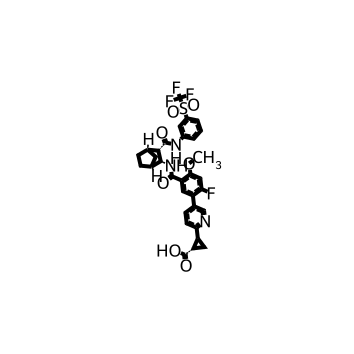 COc1cc(F)c(-c2ccc(C3C[C@@H]3C(=O)O)nc2)cc1C(=O)N[C@@H]1[C@H]2CC[C@H](C2)[C@@H]1C(=O)Nc1cccc(S(=O)(=O)C(F)(F)F)c1